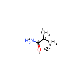 CC(C)C(N)=O.[Zr]